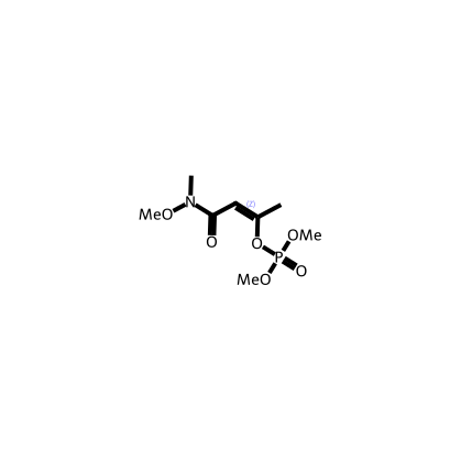 CON(C)C(=O)/C=C(/C)OP(=O)(OC)OC